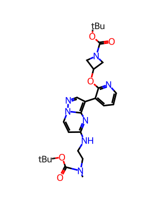 CN(CCNc1ccn2ncc(-c3cccnc3OC3CN(C(=O)OC(C)(C)C)C3)c2n1)C(=O)OC(C)(C)C